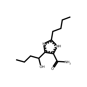 CCCCc1nc(C(O)CCC)c(C(N)=O)[nH]1